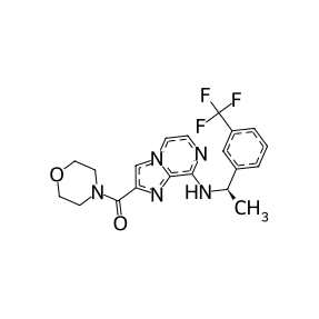 C[C@@H](Nc1nccn2cc(C(=O)N3CCOCC3)nc12)c1cccc(C(F)(F)F)c1